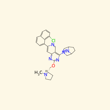 CN1CCC[C@H]1COc1nc(N2CC3CCC(C2)N3)c2cnc(-c3cccc4cccc(Cl)c34)cc2n1